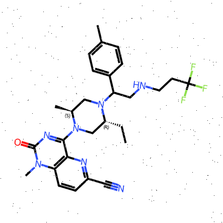 CC[C@@H]1CN(c2nc(=O)n(C)c3ccc(C#N)nc23)[C@@H](C)CN1C(CNCCC(F)(F)F)c1ccc(C)cc1